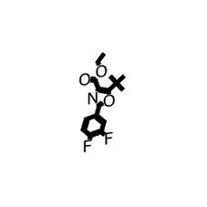 CCOC(=O)c1nc(-c2ccc(F)c(F)c2)oc1C(C)(C)C